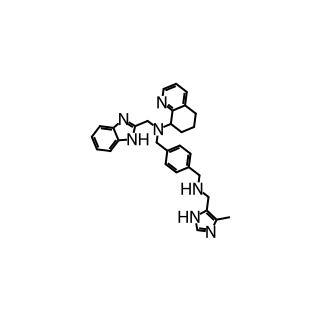 Cc1nc[nH]c1CNCc1ccc(CN(Cc2nc3ccccc3[nH]2)C2CCCc3cccnc32)cc1